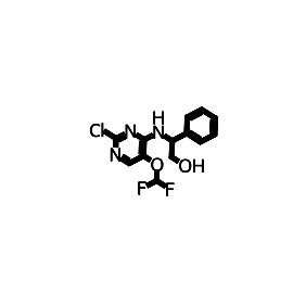 OCC(Nc1nc(Cl)ncc1OC(F)F)c1ccccc1